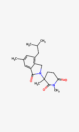 Cc1cc(CC(C)C)c2c(c1)C(=O)N(C1(C)CCC(=O)N(C)C1=O)C2